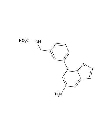 Nc1cc(-c2cccc(CNC(=O)O)c2)c2occc2c1